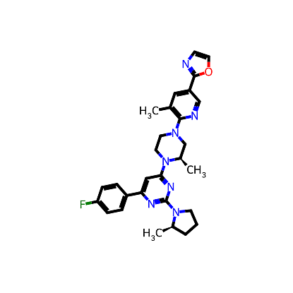 Cc1cc(-c2ncco2)cnc1N1CCN(c2cc(-c3ccc(F)cc3)nc(N3CCC[C@H]3C)n2)[C@H](C)C1